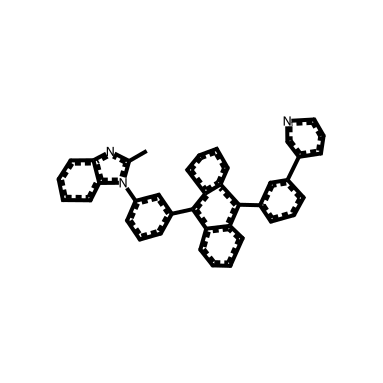 Cc1nc2ccccc2n1-c1cccc(-c2c3ccccc3c(-c3cccc(-c4cccnc4)c3)c3ccccc23)c1